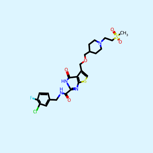 CS(=O)(=O)CCN1CCC(COCc2csc3nc(C(=O)NCc4ccc(F)c(Cl)c4)[nH]c(=O)c23)CC1